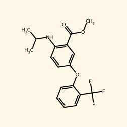 COC(=O)c1cc(Oc2ccccc2C(F)(F)F)ccc1NC(C)C